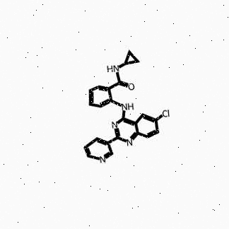 O=C(NC1CC1)c1ccccc1Nc1nc(-c2cccnc2)nc2ccc(Cl)cc12